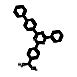 CC(C)c1ccc(-c2nc(-c3ccccc3)nc(-c3ccc(-c4ccccc4)cc3)n2)cc1